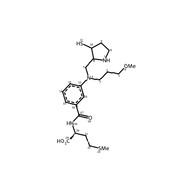 COCCCN(CC1NCCC1S)c1cccc(C(=O)N[C@@H](CCSC)C(=O)O)c1